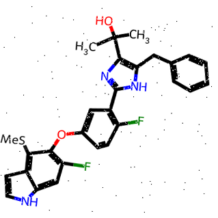 CSc1c(Oc2ccc(F)c(-c3nc(C(C)(C)O)c(Cc4ccccc4)[nH]3)c2)c(F)cc2[nH]ccc12